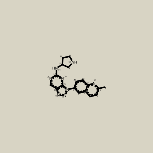 Cc1ccc2cc(-n3nnc4cnc(NC5CCNC5)nc43)ccc2n1